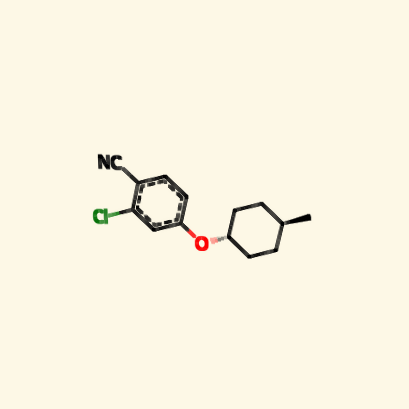 C[C@H]1CC[C@H](Oc2ccc(C#N)c(Cl)c2)CC1